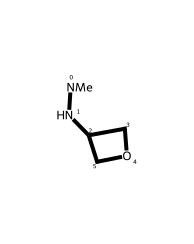 CNNC1COC1